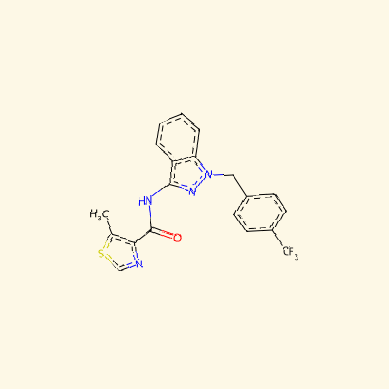 Cc1scnc1C(=O)Nc1nn(Cc2ccc(C(F)(F)F)cc2)c2ccccc12